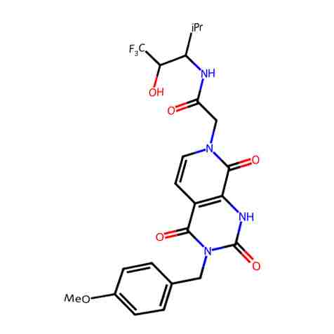 COc1ccc(Cn2c(=O)[nH]c3c(=O)n(CC(=O)NC(C(C)C)C(O)C(F)(F)F)ccc3c2=O)cc1